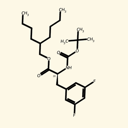 CCCCC(CCCC)COC(=O)[C@H](Cc1cc(F)cc(F)c1)NC(=O)OC(C)(C)C